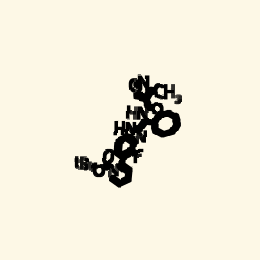 Cc1nocc1C(=O)NC(c1nc2c(F)c(C3=CCCCN3C(=O)OC(C)(C)C)ccc2[nH]1)C1CCCCCCC1